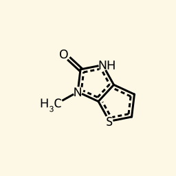 Cn1c(=O)[nH]c2ccsc21